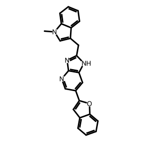 Cn1cc(Cc2nc3ncc(-c4cc5ccccc5o4)cc3[nH]2)c2ccccc21